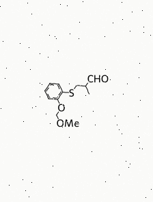 COCOc1ccccc1SCC(C)C=O